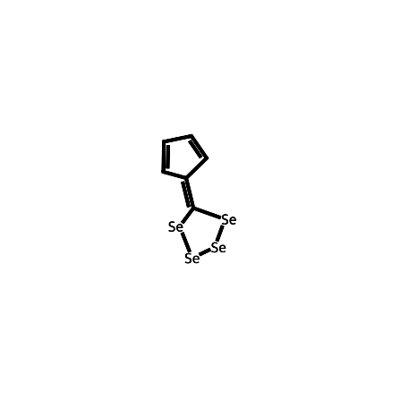 C1=CC(=C2[Se][Se][Se][Se]2)C=C1